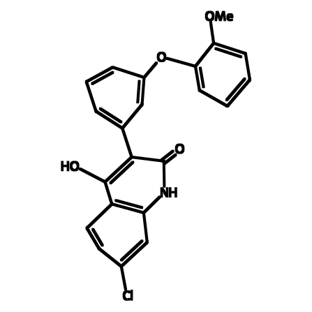 COc1ccccc1Oc1cccc(-c2c(O)c3ccc(Cl)cc3[nH]c2=O)c1